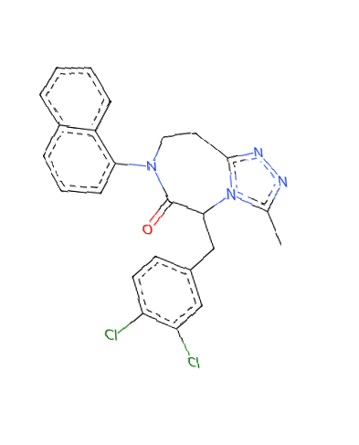 Cc1nnc2n1C(Cc1ccc(Cl)c(Cl)c1)C(=O)N(c1cccc3ccccc13)CC2